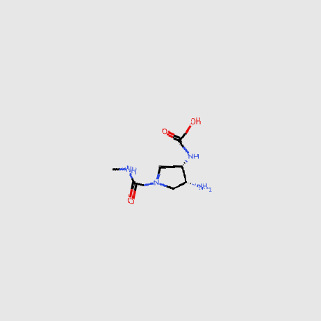 CNC(=O)N1C[C@@H](N)[C@@H](NC(=O)O)C1